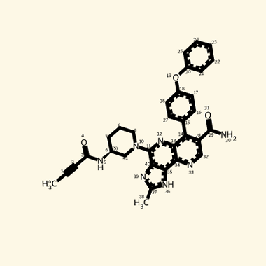 CC#CC(=O)N[C@H]1CCCN(c2nc3c(-c4ccc(Oc5ccccc5)cc4)c(C(N)=O)cnc3c3[nH]c(C)nc23)C1